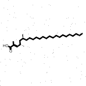 CCCCCCCCCCCCCCCCCC[C@H](C)C[C@H](C)/C=C(\C)C(=O)O